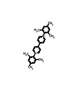 Cc1cc(C)c(-[n+]2ccc(-c3cc[n+](-c4c(C)cc(C)cc4C)cc3)cc2)c(C)c1